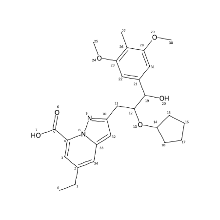 CCc1cc(C(=O)O)n2nc(CC(OC3CCCC3)C(O)c3cc(OC)c(C)c(OC)c3)cc2c1